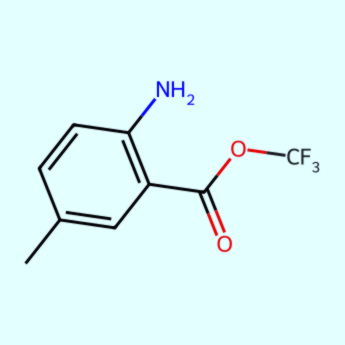 Cc1ccc(N)c(C(=O)OC(F)(F)F)c1